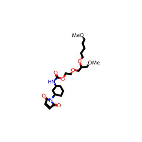 COCCCCCOC(COC)COCCOC(=O)NC1CCCC(N2C(=O)C=CC2=O)C1